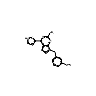 COc1cccc(Cn2ncc3c(-c4cc[nH]n4)nc(N)nc32)c1